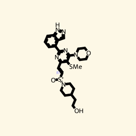 CSc1c(/C=C/[S+]([O-])N2CCC(CCO)CC2)nc(-c2cccc3[nH]ncc23)nc1N1CCOCC1